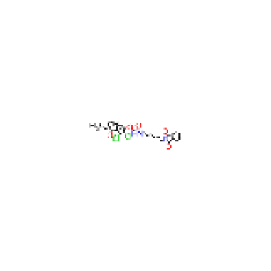 C=C(CC)C(=O)c1ccc(OCC(=O)NCCCCCCN2C(=O)c3ccccc3C2=O)c(Cl)c1Cl